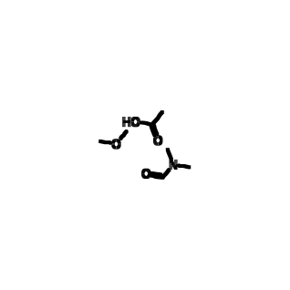 CC(=O)O.CN(C)C=O.COC